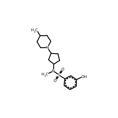 CC1CCN(C2CCC(N(C)S(=O)(=O)c3cccc(O)c3)C2)CC1